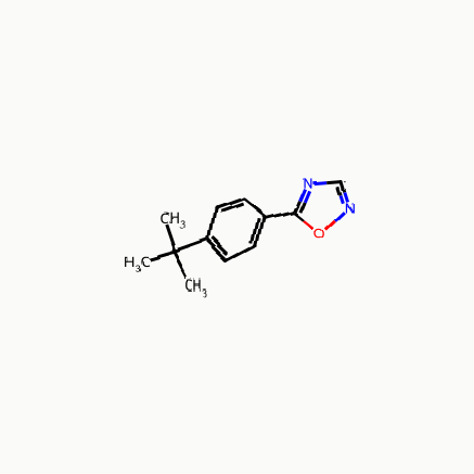 CC(C)(C)c1ccc(-c2n[c]no2)cc1